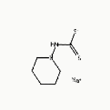 S=C([S-])NN1CCCCC1.[Na+]